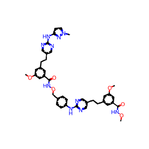 CONC(=O)c1cc(CCc2cnc(Nc3ccc(CONC(=O)c4cc(CCc5cnc(Nc6ccn(C)n6)nc5)cc(OC)c4)cc3)nc2)cc(OC)c1